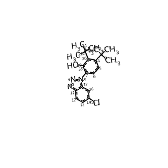 CC(C)(C)c1ccc(-n2nnc3ccc(Cl)cc32)c(O)c1C(C)(C)C